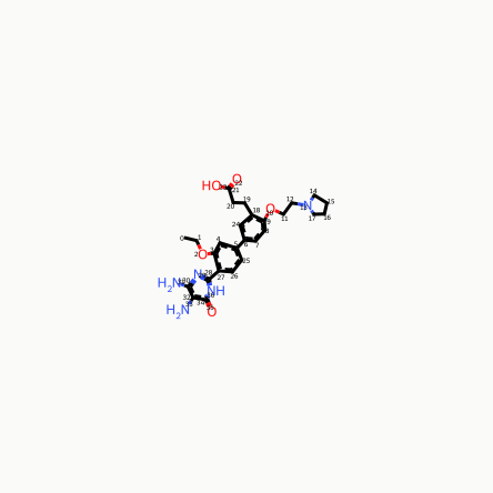 CCOc1cc(-c2ccc(OCCN3CCCC3)c(CCC(=O)O)c2)ccc1-c1nc(N)c(N)c(=O)[nH]1